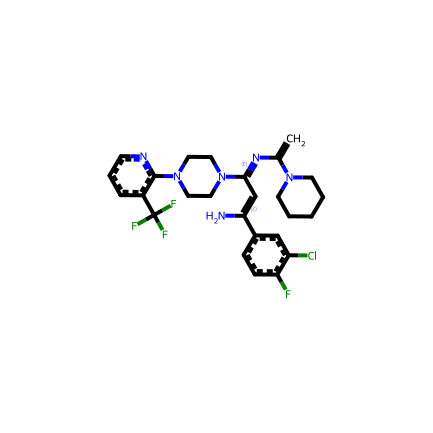 C=C(/N=C(\C=C(/N)c1ccc(F)c(Cl)c1)N1CCN(c2ncccc2C(F)(F)F)CC1)N1CCCCC1